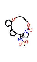 CS(=O)(=O)N[C@H]1CCN2C(=O)OC/C=C/CCOc3ccccc3-c3cccc(c3)C[C@@H]12